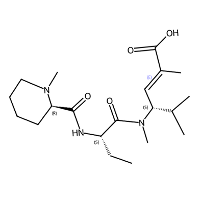 CC[C@H](NC(=O)[C@H]1CCCCN1C)C(=O)N(C)[C@H](/C=C(\C)C(=O)O)C(C)C